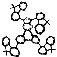 CC1(C)c2ccccc2-c2c(-c3ccc4c(c3)c3cc(-c5cccc6c5-c5ccccc5C6(C)C)ccc3c3nc5c(-c6cccc7c6-c6ccccc6C7(C)C)sc(-c6cccc7c6-c6ccccc6C7(C)C)c5nc43)cccc21